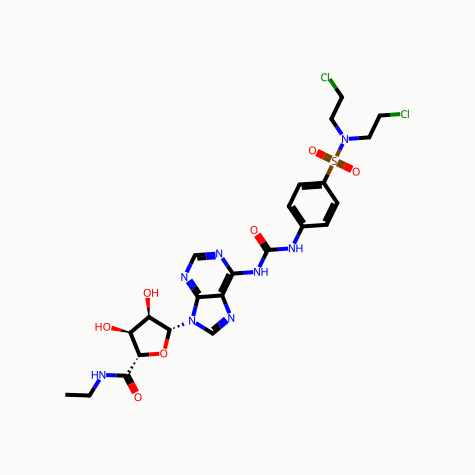 CCNC(=O)[C@H]1O[C@@H](n2cnc3c(NC(=O)Nc4ccc(S(=O)(=O)N(CCCl)CCCl)cc4)ncnc32)[C@H](O)[C@@H]1O